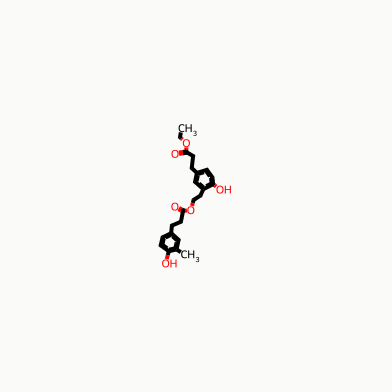 CCOC(=O)CCc1ccc(O)c(CCOC(=O)CCc2ccc(O)c(C)c2)c1